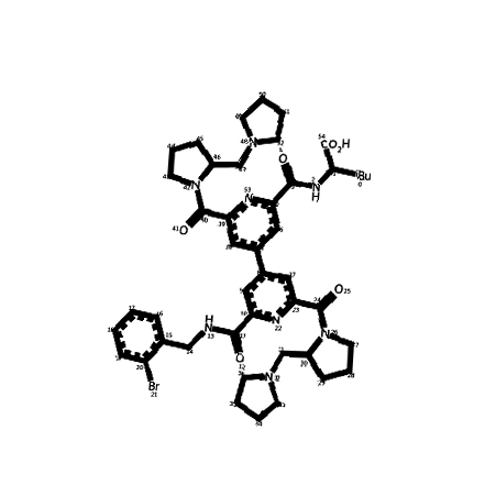 CCC(C)C(NC(=O)c1cc(-c2cc(C(=O)NCc3ccccc3Br)nc(C(=O)N3CCCC3CN3CCCC3)c2)cc(C(=O)N2CCCC2CN2CCCC2)n1)C(=O)O